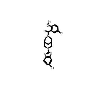 CCOc1ccc(Cl)cc1C(=O)N1CC2CC(C1)CN(c1nc3ccc(Cl)cc3s1)C2